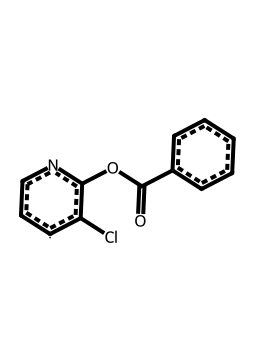 O=C(Oc1ncc[c]c1Cl)c1ccccc1